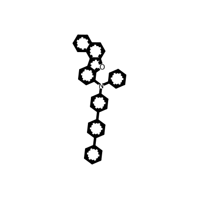 c1ccc(-c2ccc(-c3ccc(N(c4ccccc4)c4cccc5c4oc4ccc6ccccc6c45)cc3)cc2)cc1